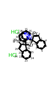 CC(C)C1=Cc2ccccc2[C]1([Zr][C]1(c2ccccn2)C(C(C)C)=Cc2ccccc21)c1ccccn1.Cl.Cl